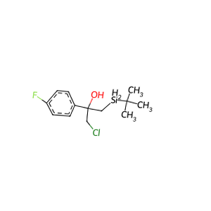 CC(C)(C)[SiH2]CC(O)(CCl)c1ccc(F)cc1